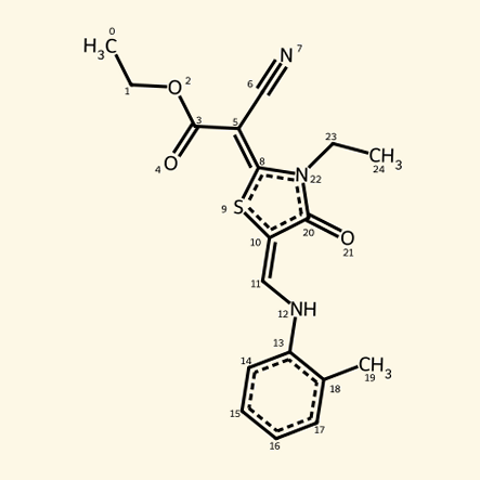 CCOC(=O)C(C#N)=c1sc(=CNc2ccccc2C)c(=O)n1CC